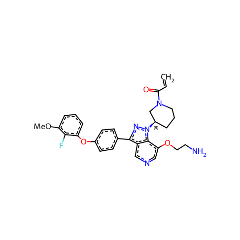 C=CC(=O)N1CCC[C@@H](n2nc(-c3ccc(Oc4cccc(OC)c4F)cc3)c3cncc(OCCN)c32)C1